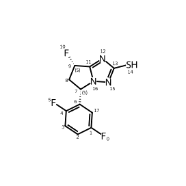 Fc1ccc(F)c([C@@H]2C[C@H](F)c3nc(S)nn32)c1